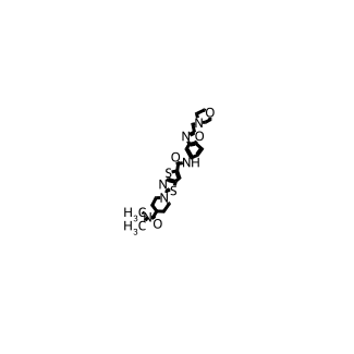 CN(C)C(=O)C1CCN(c2nc3sc(C(=O)Nc4ccc5oc(CN6CCOCC6)nc5c4)cc3s2)CC1